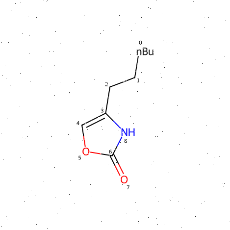 CCCCCCc1coc(=O)[nH]1